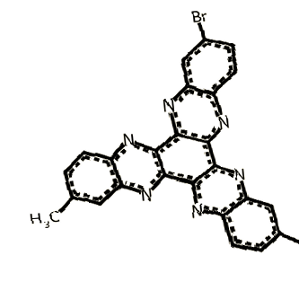 Cc1ccc2nc3c(nc2c1)c1nc2ccc(Br)cc2nc1c1nc2ccc(Br)cc2nc31